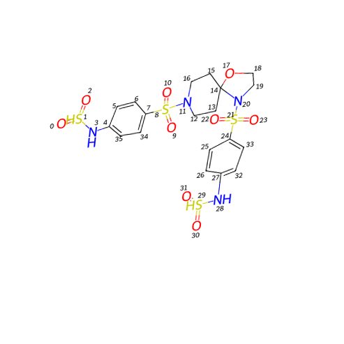 O=[SH](=O)Nc1ccc(S(=O)(=O)N2CCC3(CC2)OCCN3S(=O)(=O)c2ccc(N[SH](=O)=O)cc2)cc1